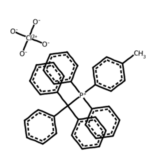 Cc1ccc([P+](c2ccccc2)(c2ccccc2)C(c2ccccc2)(c2ccccc2)c2ccccc2)cc1.[O-][Cl+3]([O-])([O-])[O-]